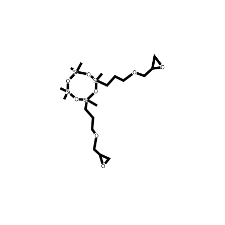 C[Si]1(C)O[Si](C)(C)O[Si](C)(CCCOCC2CO2)O[Si](C)(CCCOCC2CO2)O1